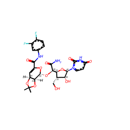 CC1(C)O[C@@H]2[C@@H](O[C@@H](C(N)=O)[C@H]3O[C@@H](n4ccc(=O)[nH]c4=O)[C@H](O)[C@@H]3CO)OC(C(=O)Nc3ccc(F)c(F)c3)=C[C@@H]2O1